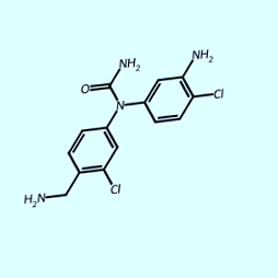 NCc1ccc(N(C(N)=O)c2ccc(Cl)c(N)c2)cc1Cl